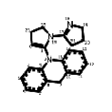 C1=C(N2c3ccccc3Cc3ccccc32)N(C2=NCCC2)CC1